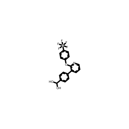 OC(O)c1ccc(-c2cccnc2Oc2ccc(S(F)(F)(F)(F)F)cc2)cc1